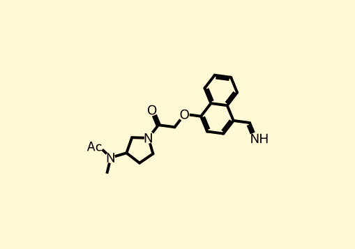 CC(=O)N(C)C1CCN(C(=O)COc2ccc(C=N)c3ccccc23)C1